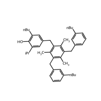 CCCCc1cccc(Cc2c(C)c(Cc3cccc(CCCC)c3)c(C)c(Cc3cc(CCCC)c(O)c(C(C)C)c3)c2C)c1